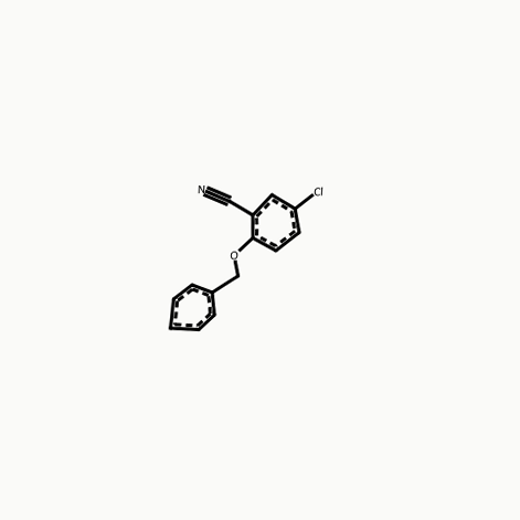 N#Cc1cc(Cl)ccc1OCc1ccccc1